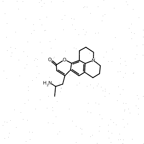 CC(N)Cc1cc(=O)oc2c3c4c(cc12)CCCN4CCC3